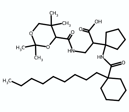 CCCCCCCCCC1(C(=O)NC2(C(CNC(=O)C3OC(C)(C)OCC3(C)C)C(=O)O)CCCC2)CCCCC1